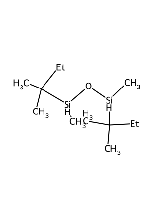 CCC(C)(C)[SiH](C)O[SiH](C)C(C)(C)CC